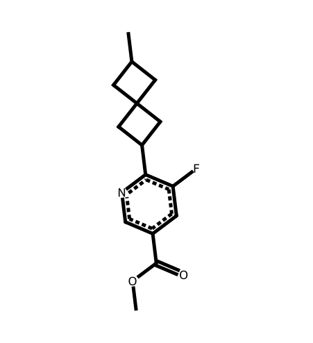 COC(=O)c1cnc(C2CC3(CC(C)C3)C2)c(F)c1